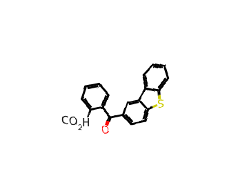 O=C(O)c1ccccc1C(=O)c1ccc2sc3ccccc3c2c1